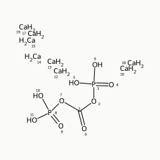 O=C(OP(=O)(O)O)OP(=O)(O)O.[CaH2].[CaH2].[CaH2].[CaH2].[CaH2].[CaH2].[CaH2].[CaH2]